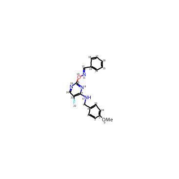 COc1ccc(CNc2nc(ON=Cc3ccccc3)ncc2F)cc1